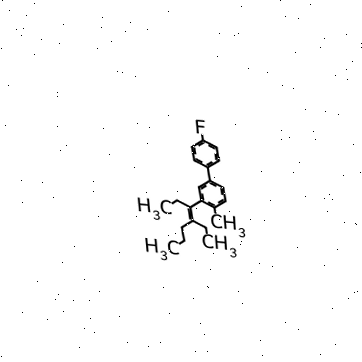 CCC/C(CC)=C(\CC)c1cc(-c2ccc(F)cc2)ccc1C